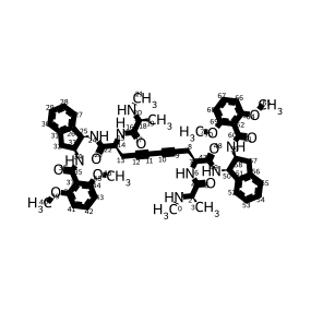 CN[C@@H](C)C(=O)N[C@@H](CC#CC#CC[C@H](NC(=O)[C@H](C)NC)C(=O)N[C@H]1c2ccccc2C[C@@H]1NC(=O)c1c(OC)cccc1OC)C(=O)N[C@H]1c2ccccc2C[C@@H]1NC(=O)c1c(OC)cccc1OC